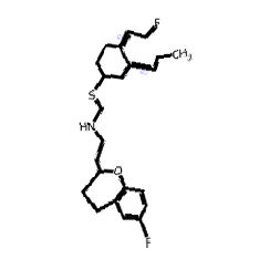 CC/C=C1/CC(SCNCCC2CCc3cc(F)ccc3O2)CC/C1=C/CF